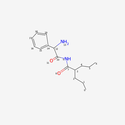 CCCC(CCC)C(=O)NC(=O)C(N)c1ccccc1